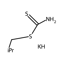 CC(C)CSC(N)=S.[KH]